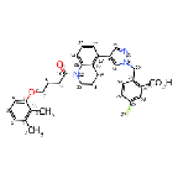 Cc1cccc(OCCCC(=O)N2CCCc3c(-c4cnn(Cc5ccc(F)cc5C(=O)O)c4)cccc32)c1C